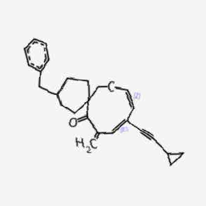 C=C1/C=C(C#CC2CC2)\C=C/CCC2(CCC(Cc3ccccc3)CC2)C1=O